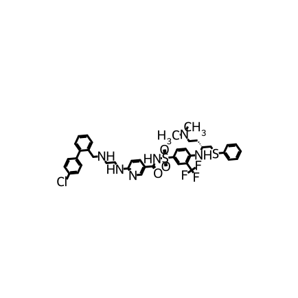 CN(C)CC[C@H](CSc1ccccc1)Nc1ccc(S(=O)(=O)NC(=O)c2ccc(NCCNCc3ccccc3-c3ccc(Cl)cc3)nc2)cc1C(F)(F)F